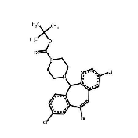 CC(C)(C)OC(=O)N1CCN(C2c3ccc(Cl)cc3C(Br)=Cc3cc(Cl)cnc32)CC1